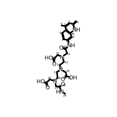 C=C1C=C(C)c2ccc(NC(=O)CN(CCN(CCN(CC(=O)O)CC(=O)NC)CC(=O)O)CC(=O)O)cc2N1